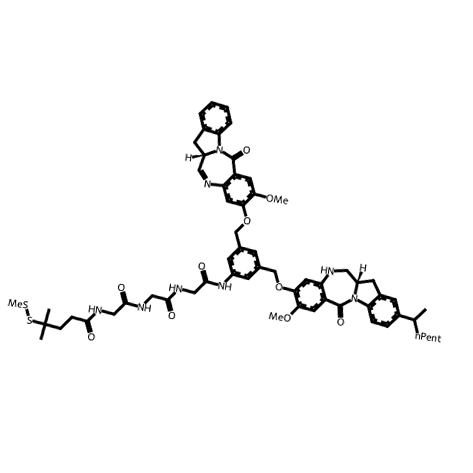 CCCCCC(C)c1ccc2c(c1)C[C@H]1CNc3cc(OCc4cc(COc5cc6c(cc5OC)C(=O)N5c7ccccc7C[C@H]5C=N6)cc(NC(=O)CNC(=O)CNC(=O)CNC(=O)CCC(C)(C)SSC)c4)c(OC)cc3C(=O)N21